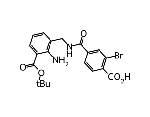 CC(C)(C)OC(=O)c1cccc(CNC(=O)c2ccc(C(=O)O)c(Br)c2)c1N